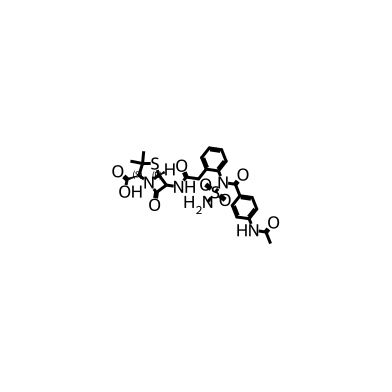 CC(=O)Nc1ccc(C(=O)N(c2ccccc2CC(=O)NC2C(=O)N3[C@@H]2SC(C)(C)[C@@H]3C(=O)O)S(N)(=O)=O)cc1